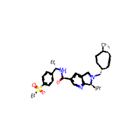 CC[C@H](NC(=O)c1cnc2c(c1)CN(C[C@H]1CC[C@H](C(F)(F)F)CC1)[C@H]2C(C)C)c1ccc(S(=O)(=O)CC)cc1